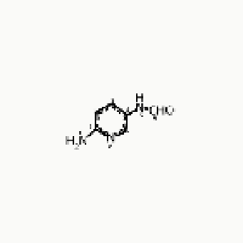 Nc1ccc(N[C]=O)cn1